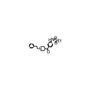 CCS(=O)(=O)Nc1ccc(C(=O)C2CCN(CCc3ccccc3)CC2)cc1